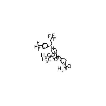 CC(C)(C)[C@H]1CN(C(CCC(F)(F)F)c2ccc(C(F)(F)F)cc2)CCN1C(=O)CC1CCN(C(N)=O)CC1